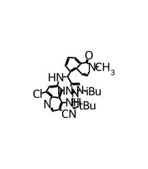 CCC(C)N1C=C([C@@H](Nc2cc(Cl)c3ncc(C#N)c(NCC(C)(C)C)c3c2)c2cccc3c(=O)n(C)ccc23)NN1